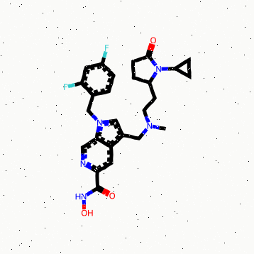 CN(CCC1CCC(=O)N1C1CC1)Cc1cn(Cc2ccc(F)cc2F)c2cnc(C(=O)NO)cc12